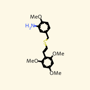 COc1cc(OC)c(/C=C/SCc2ccc(OC)c(N)c2)c(OC)c1